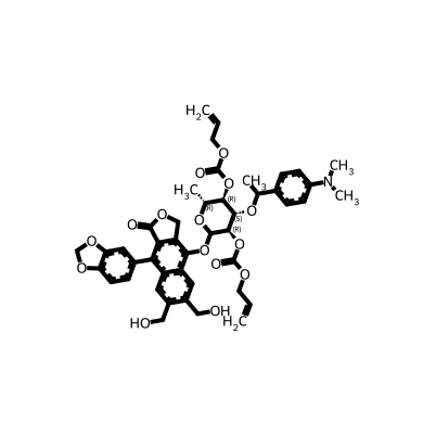 C=CCOC(=O)O[C@H]1[C@H](OC(C)c2ccc(N(C)C)cc2)[C@@H](OC(=O)OCC=C)C(Oc2c3c(c(-c4ccc5c(c4)OCO5)c4cc(CO)c(CO)cc24)C(=O)OC3)O[C@@H]1C